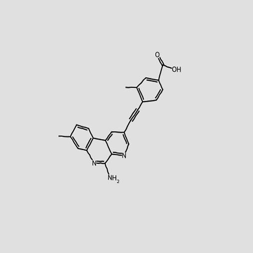 Cc1ccc2c(c1)nc(N)c1ncc(C#Cc3ccc(C(=O)O)cc3C)cc12